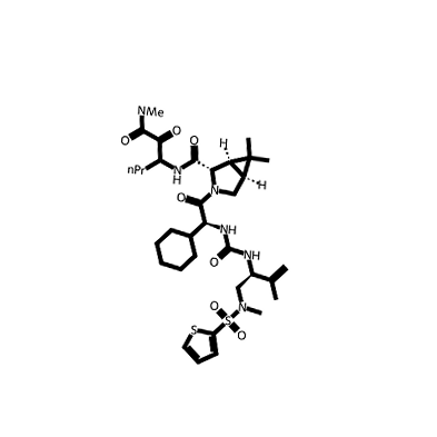 C=C(C)[C@@H](CN(C)S(=O)(=O)c1cccs1)NC(=O)N[C@H](C(=O)N1C[C@H]2[C@@H]([C@H]1C(=O)NC(CCC)C(=O)C(=O)NC)C2(C)C)C1CCCCC1